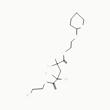 CC(C)(CC(C)(Br)C(=O)OCCOC1CCCCO1)C(=O)OCCS